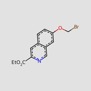 CCOC(=O)c1cc2ccc(OCBr)cc2cn1